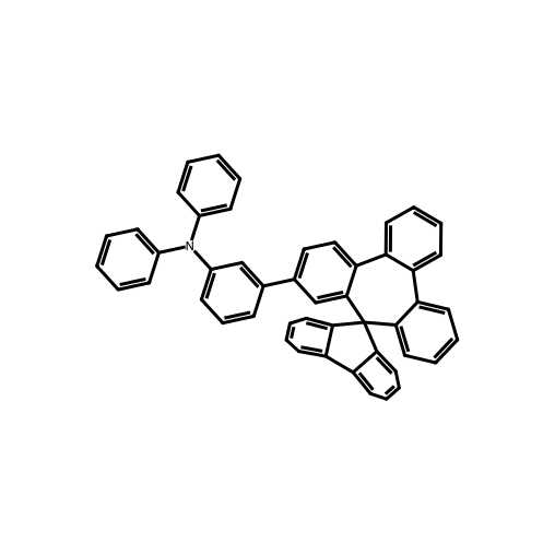 c1ccc(N(c2ccccc2)c2cccc(-c3ccc4c(c3)C3(c5ccccc5-c5ccccc5-4)c4ccccc4-c4ccccc43)c2)cc1